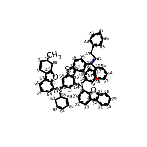 CC1C=Cc2c(oc3c(N(c4cc(N(c5ccccc5)c5cccc6c5oc5ccccc56)c5c(c4)sc4ccc(/C(=C\Cc6ccccc6)c6ccccc6)cc45)C4C=CC=CC4)cccc23)C1